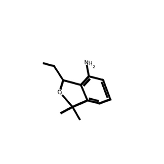 CCC1OC(C)(C)c2cccc(N)c21